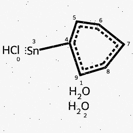 Cl.O.O.[Sn][c]1ccccc1